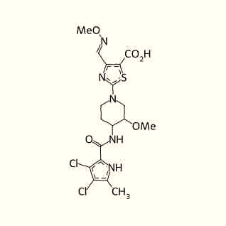 CON=Cc1nc(N2CCC(NC(=O)c3[nH]c(C)c(Cl)c3Cl)C(OC)C2)sc1C(=O)O